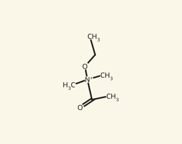 CCO[N+](C)(C)C(C)=O